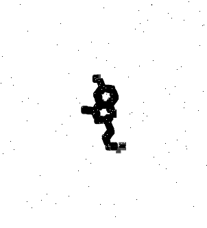 O=C(O)C=Cc1nc2ccc(Cl)cc2c(=O)o1